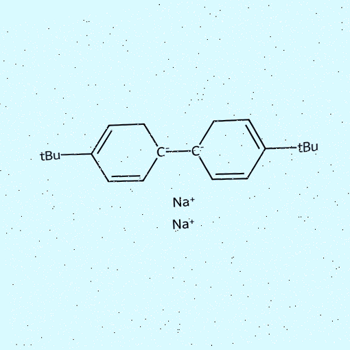 CC(C)(C)C1=CC[C-]([C-]2C=CC(C(C)(C)C)=CC2)C=C1.[Na+].[Na+]